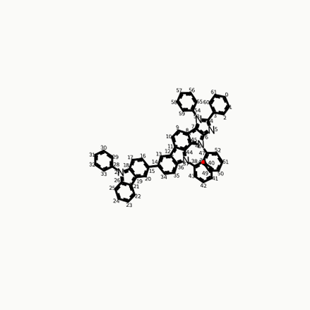 c1ccc(-c2nc3c(c4ccc5c6cc(-c7ccc8c(c7)c7ccccc7n8-c7ccccc7)ccc6n(-c6ccccc6)c5c4n3-c3ccccc3)n2-c2ccccc2)cc1